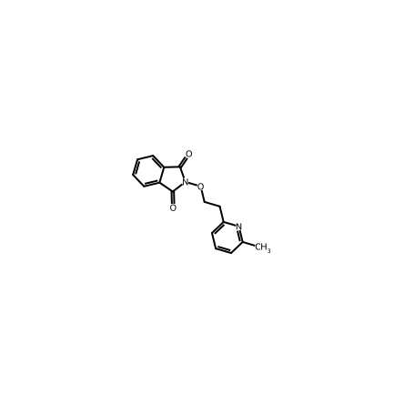 Cc1cccc(CCON2C(=O)c3ccccc3C2=O)n1